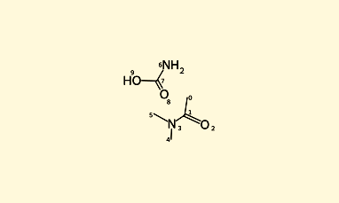 CC(=O)N(C)C.NC(=O)O